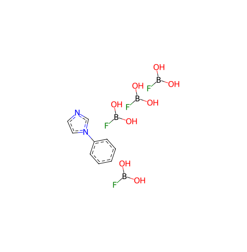 OB(O)F.OB(O)F.OB(O)F.OB(O)F.c1ccc(-n2ccnc2)cc1